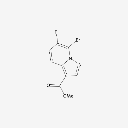 COC(=O)c1cnn2c(Br)c(F)ccc12